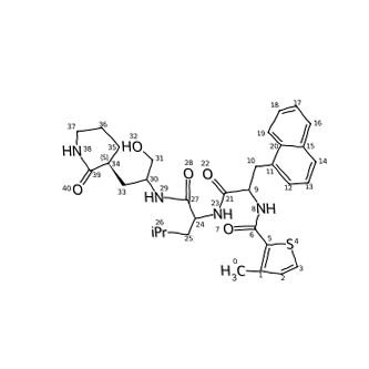 Cc1ccsc1C(=O)NC(Cc1cccc2ccccc12)C(=O)NC(CC(C)C)C(=O)NC(CO)C[C@@H]1CCCNC1=O